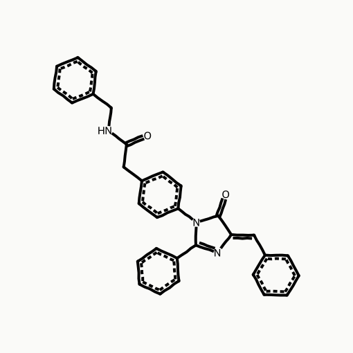 O=C(Cc1ccc(N2C(=O)C(=Cc3ccccc3)N=C2c2ccccc2)cc1)NCc1ccccc1